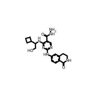 NNC(=O)c1cnc(Nc2ccc3c(c2)CCNC3=O)nc1NC(CO)C1CCC1